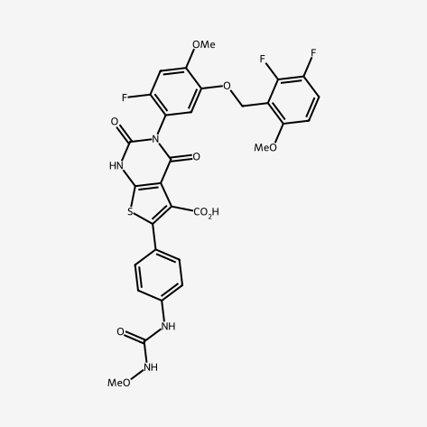 CONC(=O)Nc1ccc(-c2sc3[nH]c(=O)n(-c4cc(OCc5c(OC)ccc(F)c5F)c(OC)cc4F)c(=O)c3c2C(=O)O)cc1